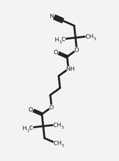 CCC(C)(C)C(=O)OCCCNC(=O)OC(C)(C)CC#N